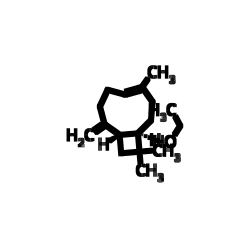 C=C1CC/C=C(\C)CC[C@@H]2[C@@H]1CC2(C)C.CCO